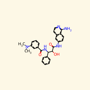 CN(C)c1cccc(C(=O)NC(c2ccccc2)C(O)C(=O)Nc2ccc3c(N)nccc3c2)c1